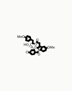 COc1ccc(CC(OC(=O)Cc2c(C)n(C(=O)c3ccc(Cl)cc3)c3ccc(OC)cc23)C(=O)O)cc1